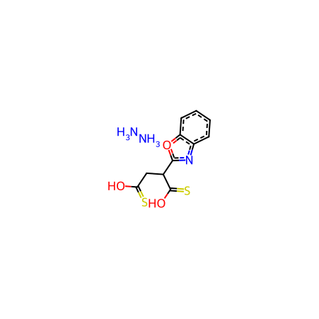 N.N.OC(=S)CC(C(O)=S)c1nc2ccccc2o1